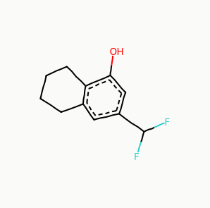 Oc1cc(C(F)F)cc2c1CCCC2